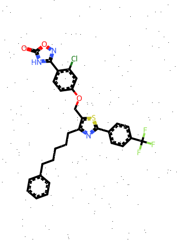 O=c1[nH]c(-c2ccc(OCc3sc(-c4ccc(C(F)(F)F)cc4)nc3CCCCCc3ccccc3)cc2Cl)no1